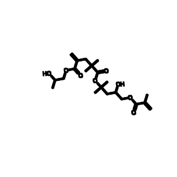 C=C(C)C(=O)OCC(O)CC(C)(C)OC(=O)C(C)(C)CC(=C)C(=O)OCC(C)O